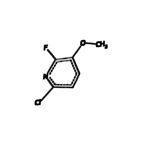 COc1ccc(Cl)nc1F